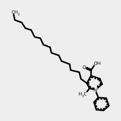 CCCCCCCCCCCCCCCCc1c(C(=O)O)cc[n+](-c2ccccc2)c1C